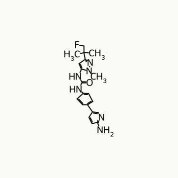 Cn1nc(C(C)(C)CF)cc1NC(=O)Nc1ccc(-c2ccc(N)nc2)cc1